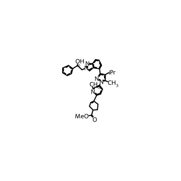 COC(=O)C1CC=C(c2ccc(-n3nc(-c4cccc5nn(C[C@H](O)c6ccccc6)cc45)c(C(C)C)c3C)c(C)n2)CC1